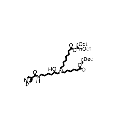 CCCCCCCCCCCOC(=O)CCCCCN(CCCCCCCC(=O)OC(CCCCCCCC)CCCCCCCC)CC(O)CCCCNC(=O)c1cnn(C)c1